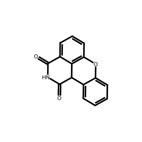 O=C1NC(=O)C2c3ccccc3Oc3cccc1c32